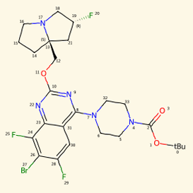 CC(C)(C)OC(=O)N1CCN(c2nc(OC[C@@]34CCCN3C[C@H](F)C4)nc3c(F)c(Br)c(F)cc23)CC1